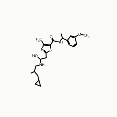 CC(CNC(O)Cc1nc(C(F)(F)F)c(C(=O)NC(C)c2cccc(OC(F)(F)F)c2)s1)CC1CC1